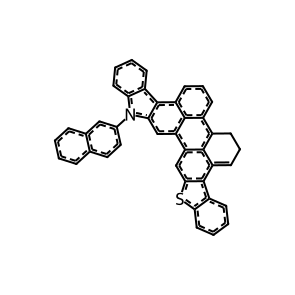 C1=c2c3c(c4cccc5c4c(cc4c5c5ccccc5n4-c4ccc5ccccc5c4)c3cc3sc4ccccc4c23)CC1